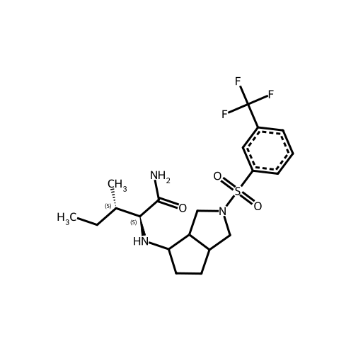 CC[C@H](C)[C@H](NC1CCC2CN(S(=O)(=O)c3cccc(C(F)(F)F)c3)CC21)C(N)=O